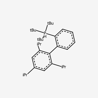 CC(C)c1cc(C(C)C)c(-c2ccccc2[PH](C(C)(C)C)(C(C)(C)C)C(C)(C)C)c(C(C)C)c1